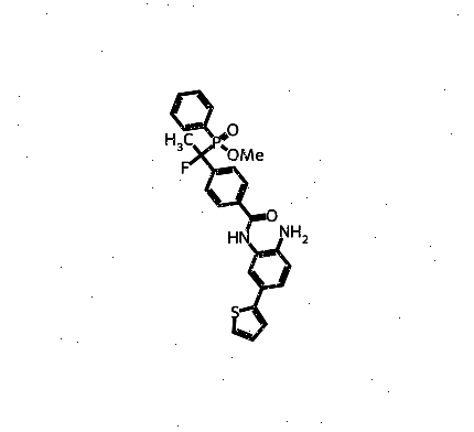 COP(=O)(c1ccccc1)C(C)(F)c1ccc(C(=O)Nc2cc(-c3cccs3)ccc2N)cc1